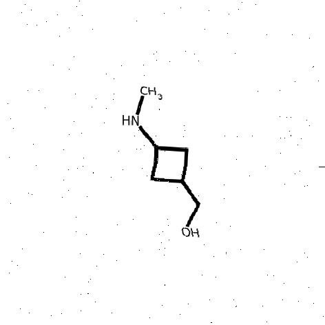 CNC1CC(CO)C1